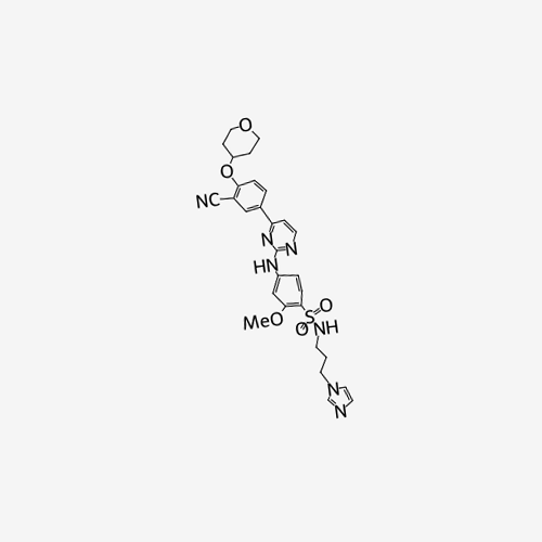 COc1cc(Nc2nccc(-c3ccc(OC4CCOCC4)c(C#N)c3)n2)ccc1S(=O)(=O)NCCCn1ccnc1